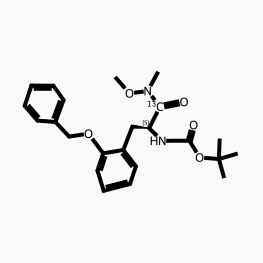 CON(C)[13C](=O)[C@H](Cc1ccccc1OCc1ccccc1)NC(=O)OC(C)(C)C